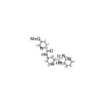 COc1ccc(C(=O)Nc2ccnc(CNc3cccnc3N)c2)nc1